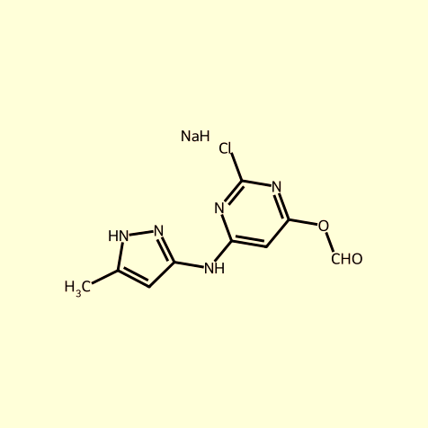 Cc1cc(Nc2cc(OC=O)nc(Cl)n2)n[nH]1.[NaH]